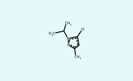 Cc1cc(Cl)n(C(C)C)n1